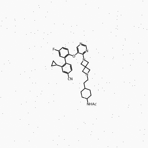 CC(=O)NC1CCC(CCN2CC3(C2)CN(c2ncncc2Oc2ccc(F)cc2-c2ccc(C#N)cc2C2CC2)C3)CC1